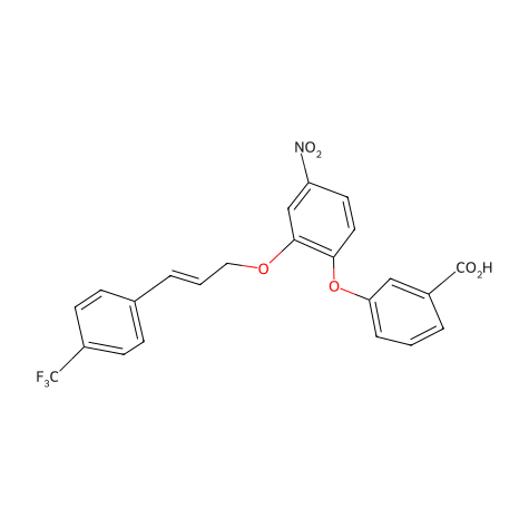 O=C(O)c1cccc(Oc2ccc([N+](=O)[O-])cc2OC/C=C/c2ccc(C(F)(F)F)cc2)c1